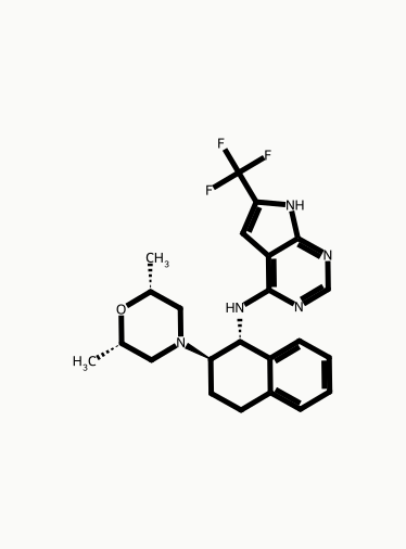 C[C@@H]1CN([C@@H]2CCc3ccccc3[C@H]2Nc2ncnc3[nH]c(C(F)(F)F)cc23)C[C@H](C)O1